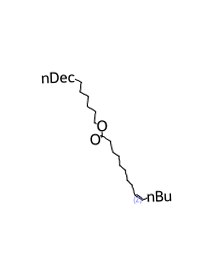 CCCC/C=C\CCCCCCCC(=O)OCCCCCCCCCCCCCCCC